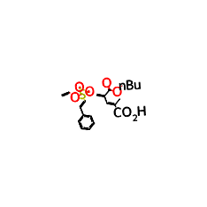 C=C(C=C(C)C(=O)O)C(=O)OCCCC.C=COS(=O)(=O)C=Cc1ccccc1